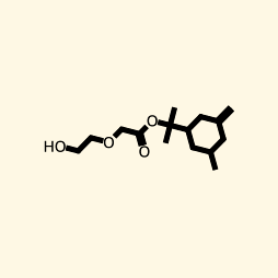 C=C1CC(C)CC(C(C)(C)OC(=O)COCCO)C1